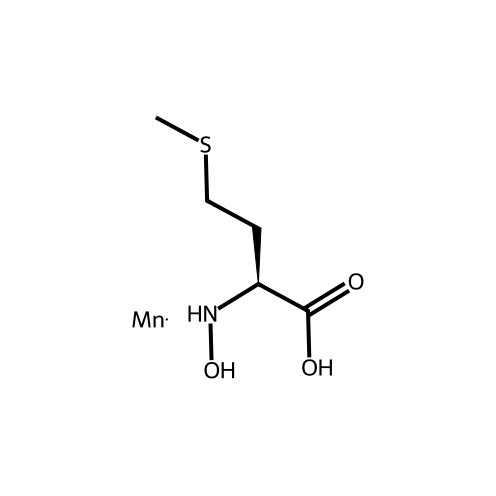 CSCC[C@H](NO)C(=O)O.[Mn]